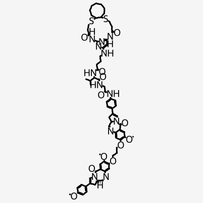 COc1ccc(C2=CN3C(=O)c4cc(OC)c(OCCCOc5cc6c(cc5OC)C(=O)N5C=C(c7ccc(NC(=O)CNC(=O)C(NC(=O)CCCNc8cc9nc(n8)NC(=O)CCSC8CCCCCCCC8SCCC(=O)N9)C(C)C)cc7)CC5C=N6)cc4N=C[C@@H]3C2)cc1